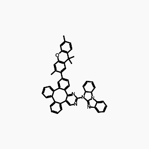 Cc1ccc2c(c1)Oc1cc(C)c(-c3ccc4c(c3)-c3ccccc3-c3ccccc3-c3cnc(N5c6nc7ccccc7n6C6C=CC=CC65)nc3-4)cc1C2(C)C